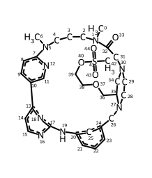 CN1CCCN(C)c2ccc(cn2)-c2ccnc(n2)Nc2cccc(c2)CN2CCN(CC1=O)CC2COCCOS(C)(=O)=O